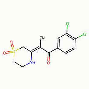 N#C/C(C(=O)c1ccc(Cl)c(Cl)c1)=C1\CS(=O)(=O)CCN1